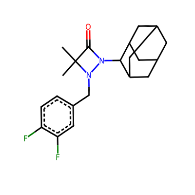 CC1(C)C(=O)N(C2C3CC4CC(C3)CC2C4)N1Cc1ccc(F)c(F)c1